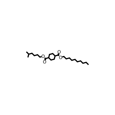 CCCCCCCCCCOC(=O)C1CCC(C(=O)OCCCCC(C)C)CC1